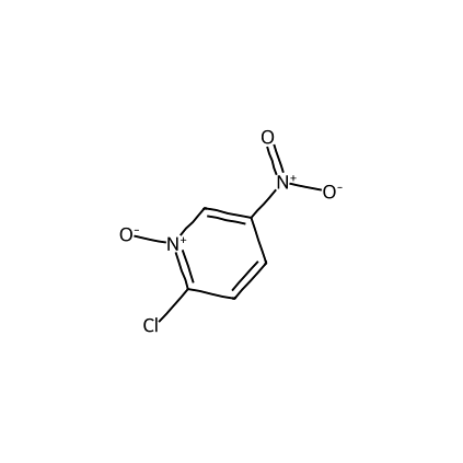 O=[N+]([O-])c1ccc(Cl)[n+]([O-])c1